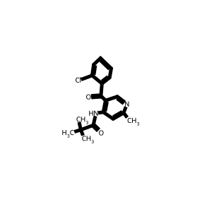 Cc1cc(NC(=O)C(C)(C)C)c(C(=O)c2ccccc2Cl)cn1